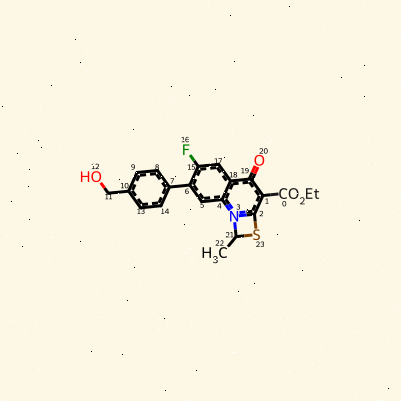 CCOC(=O)c1c2n(c3cc(-c4ccc(CO)cc4)c(F)cc3c1=O)C(C)S2